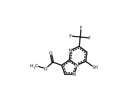 COC(=O)c1cnn2c(S)cc(C(F)(F)F)nc12